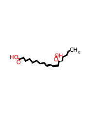 CCCCC[C@@H](/C=C\C=C\CCCCCCCC(=O)O)OO